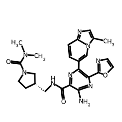 Cc1cnc2ccc(-c3nc(C(=O)NC[C@@H]4CCN(C(=O)N(C)C)C4)c(N)nc3-c3ncco3)cn12